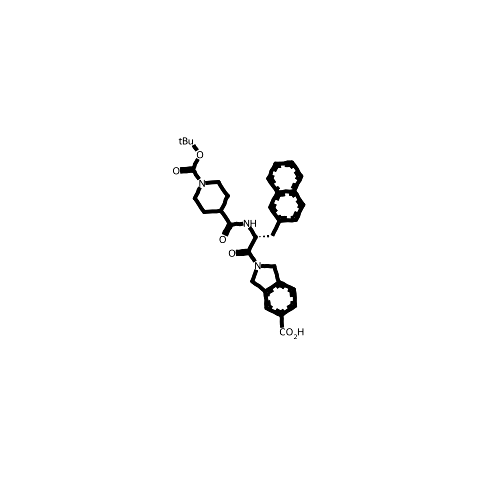 CC(C)(C)OC(=O)N1CCC(C(=O)N[C@H](Cc2ccc3ccccc3c2)C(=O)N2Cc3ccc(C(=O)O)cc3C2)CC1